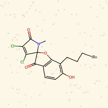 CCC(C)CCCc1c(O)ccc2c1OC1(C2=O)C(Cl)=C(Cl)C(=O)N1C